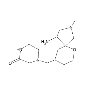 CN1CC(N)C2(CC(CN3CCNC(=O)C3)CCO2)C1